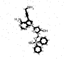 CC(C)(C)[Si](OC[C@H]1O[C@@H](n2cc(C#CCN)c3c(N)ncnc32)C[C@H]1O)(c1ccccc1)c1ccccc1